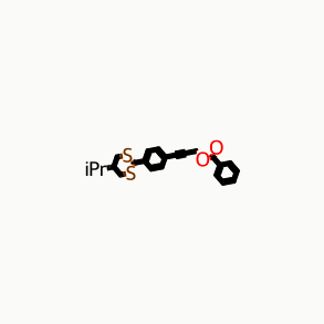 CC(C)C1CSC(c2ccc(C#CCOC(=O)c3ccccc3)cc2)SC1